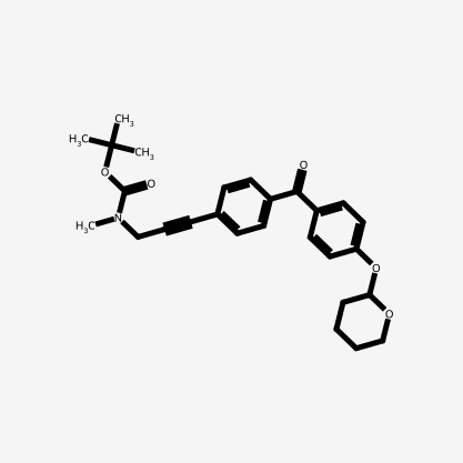 CN(CC#Cc1ccc(C(=O)c2ccc(OC3CCCCO3)cc2)cc1)C(=O)OC(C)(C)C